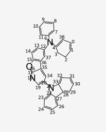 C1=CCCC(N(c2ccccc2)c2ccc3oc4ncc(-n5c6ccccc6c6ccccc65)cc4c3c2)=C1